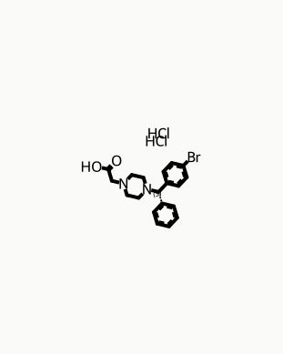 Cl.Cl.O=C(O)CN1CCN([C@@H](c2ccccc2)c2ccc(Br)cc2)CC1